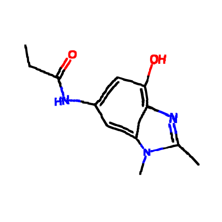 CCC(=O)Nc1cc(O)c2nc(C)n(C)c2c1